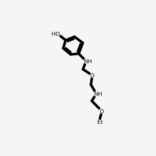 CCOCNCOCNc1ccc(O)cc1